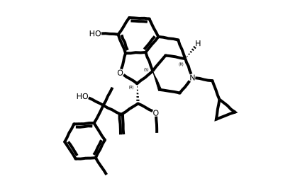 C=C(C(OC)[C@@H]1Oc2c(O)ccc3c2[C@@]12CCN(CC1CC1)[C@H](C3)C2)C(C)(O)c1cccc(C)c1